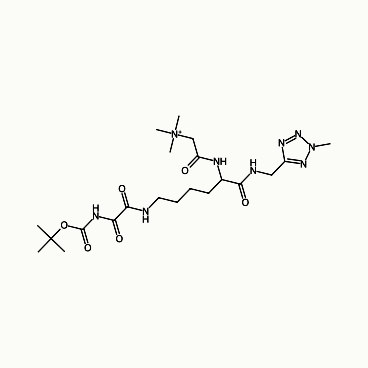 Cn1nnc(CNC(=O)C(CCCCNC(=O)C(=O)NC(=O)OC(C)(C)C)NC(=O)C[N+](C)(C)C)n1